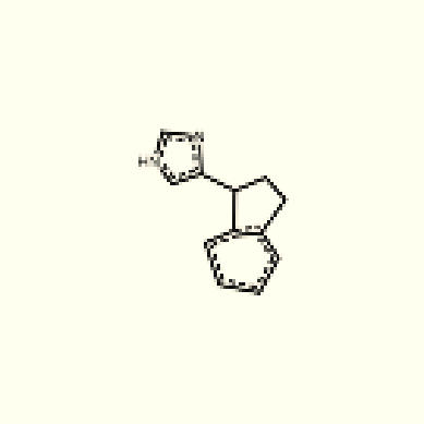 c1ccc2c(c1)CCC2c1c[nH]cn1